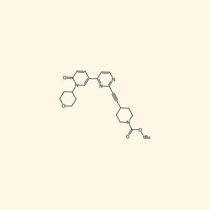 CC(C)(C)OC(=O)N1CCC(C#Cc2nccc(-c3ccc(=O)n(C4CCOCC4)c3)n2)CC1